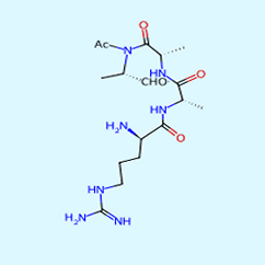 CC(=O)N(C(=O)[C@H](C)NC(=O)[C@H](C)NC(=O)[C@H](N)CCCNC(=N)N)[C@@H](C)[C]=O